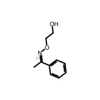 C/C(=N/OCCO)c1ccccc1